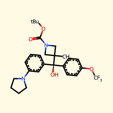 CC(C)(C)OC(=O)N1CC(C)([C@](O)(c2ccc(OC(F)(F)F)cc2)c2cccc(N3CCCC3)c2)C1